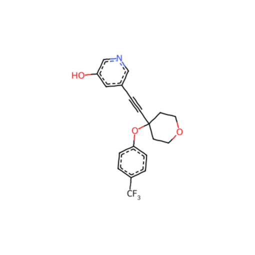 Oc1cncc(C#CC2(Oc3ccc(C(F)(F)F)cc3)CCOCC2)c1